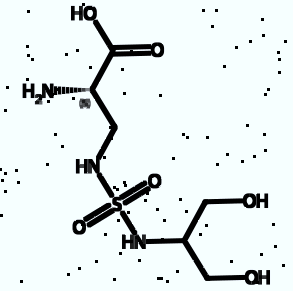 N[C@@H](CNS(=O)(=O)NC(CO)CO)C(=O)O